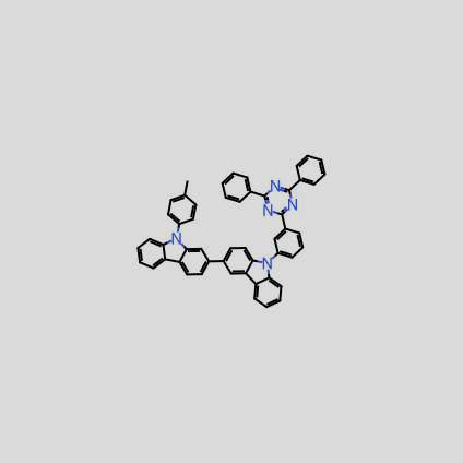 Cc1ccc(-n2c3ccccc3c3ccc(-c4ccc5c(c4)c4ccccc4n5-c4cccc(-c5nc(-c6ccccc6)nc(-c6ccccc6)n5)c4)cc32)cc1